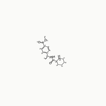 COC(=O)c1ccc([C@H](C)NC(=O)C2CCCCN2)cc1